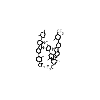 Cc1ccc(-c2ccc3c4ccc(-c5ccc(C(F)(F)F)cc5C)cc4n(-c4cc(-c5cc(C)nc(C)c5)c(-n5c6cc(-c7ccc(C(F)(F)F)cc7C)ccc6c6ccc(-c7ccc(C(F)(F)F)cc7C)cc65)cc4C#N)c3c2)c(C)c1